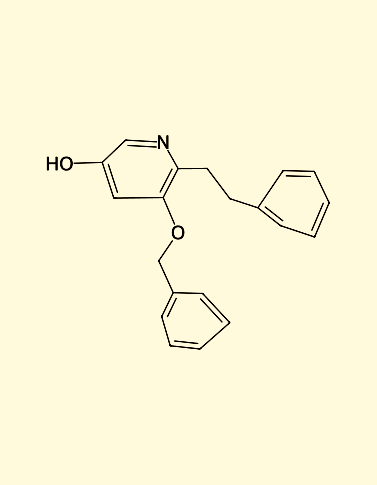 Oc1cnc(CCc2ccccc2)c(OCc2ccccc2)c1